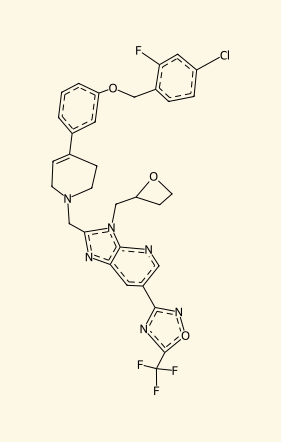 Fc1cc(Cl)ccc1COc1cccc(C2=CCN(Cc3nc4cc(-c5noc(C(F)(F)F)n5)cnc4n3CC3CCO3)CC2)c1